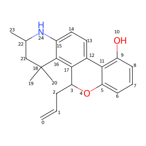 C=CCC1Oc2cccc(O)c2-c2ccc3c(c21)C(C)(C)CC(C)N3